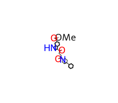 COC(=O)c1ccc2c(C(=O)CCC(=O)N3CC=C(c4ccccc4)CC3)c[nH]c2c1